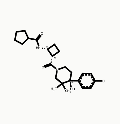 CC1(C)CN(C(=O)[C@H]2CC[C@H]2NC(=O)C2CCCC2)CC[C@]1(O)c1ccc(Cl)cc1